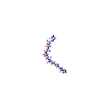 Cc1nc(NC(=O)c2cc(NC(=O)CCNC(=O)c3cc(NC(=O)c4nc(NC(=O)CCNC(=O)CCNC(=O)c5cccn5C)cn4C)cn3C)cn2C)cn1C